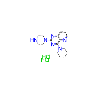 Cl.Cl.c1cnc2c(N3CCCCC3)nc(N3CCNCC3)nc2c1